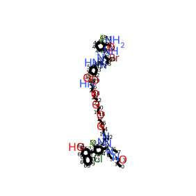 C=CC(=O)N1CCN(c2nc(N(C)CCOCCOCCOCCOCCNS(=O)(=O)c3ccc(Nc4ncc(Br)c(Nc5cccc(F)c5C(N)=O)n4)cc3)nc3c(F)c(-c4cc(O)cc5ccccc45)c(Cl)cc23)CC1